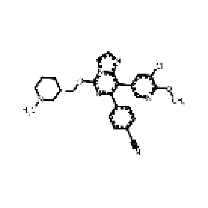 COc1ncc(-c2c(-c3ccc(C#N)cc3)nc(OC[C@@H]3CCCN(C)C3)n3ccnc23)cc1Cl